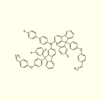 C=Cc1ccc(Oc2ccc(C3(c4cc(F)ccc4F)c4ccccc4-c4ccc(N(c5ccc(-c6ccc(F)cc6)cc5)c5ccc6c(c5)C(c5ccc(Oc7ccc(C=C)cc7)cc5)(c5cc(F)ccc5F)c5ccccc5-6)cc43)cc2)cc1